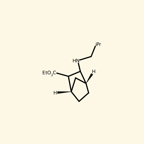 CCOC(=O)C1C(NCC(C)C)[C@@H]2CC[C@H]1C2